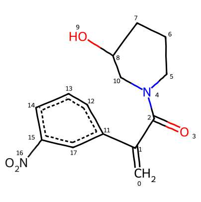 C=C(C(=O)N1CCCC(O)C1)c1cc[c]c([N+](=O)[O-])c1